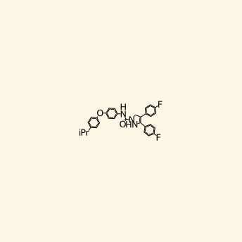 CC(C)c1ccc(Oc2ccc(NC(=O)N3CC(c4ccc(F)cc4)=C(c4ccc(F)cc4)N3)cc2)cc1